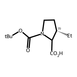 CC[C@H]1CCN(C(=O)OC(C)(C)C)C1C(=O)O